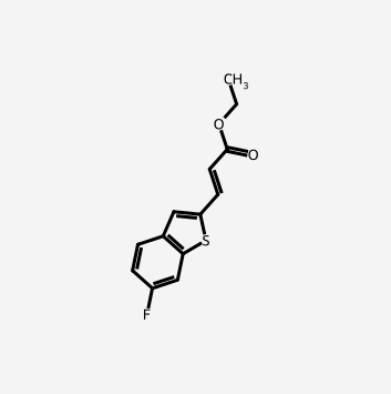 CCOC(=O)/C=C/c1cc2ccc(F)cc2s1